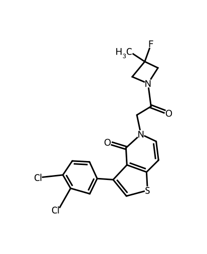 CC1(F)CN(C(=O)Cn2ccc3scc(-c4ccc(Cl)c(Cl)c4)c3c2=O)C1